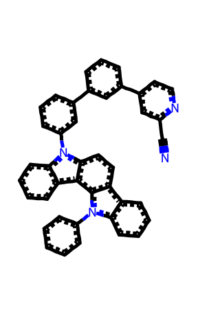 N#Cc1cc(-c2cccc(-c3cccc(-n4c5ccccc5c5c4ccc4c6ccccc6n(-c6ccccc6)c45)c3)c2)ccn1